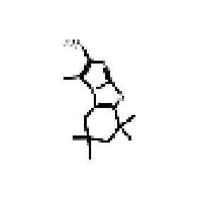 CCOC(=O)c1nc2sc3c(n2c1C)CC(C)(C)CC3(C)C